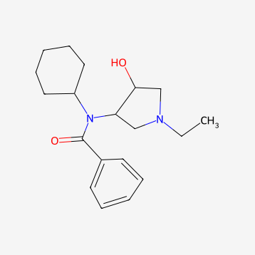 CCN1CC(O)C(N(C(=O)c2ccccc2)C2CCCCC2)C1